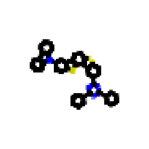 c1ccc(-c2nc(-c3ccccc3)nc(-c3ccc4sc5ccc6c7cc(-n8c9ccccc9c9ccccc98)ccc7sc6c5c4c3)n2)cc1